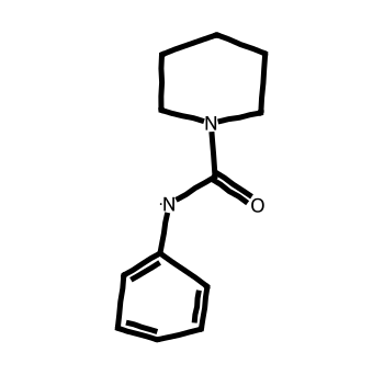 O=C([N]c1ccccc1)N1CCCCC1